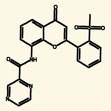 CS(=O)(=O)c1ccccc1-c1cc(=O)c2cccc(NC(=O)c3cnccn3)c2o1